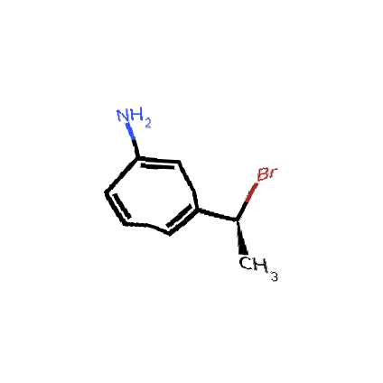 C[C@H](Br)c1cccc(N)c1